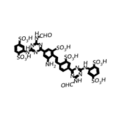 Nc1cc(-c2nc(NC=O)nc(Nc3cc(S(=O)(=O)O)ccc3S(=O)(=O)O)n2)cc(S(=O)(=O)O)c1C=Cc1ccc(-c2nc(NC=O)nc(Nc3cc(S(=O)(=O)O)ccc3S(=O)(=O)O)n2)cc1S(=O)(=O)O